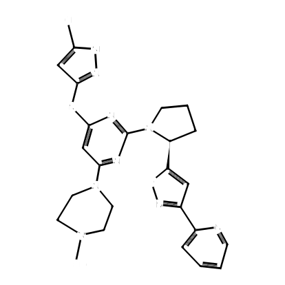 Cc1cc(Nc2cc(N3CCN(C=O)CC3)nc(N3CCC[C@H]3c3cc(-c4ccccn4)no3)n2)n[nH]1